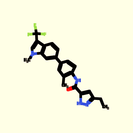 CCc1cc(C(=O)Nc2ccc(-c3ccc4c(C(F)(F)F)cn(C)c4c3)cc2C)[nH]n1